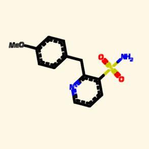 COc1ccc(Cc2ncccc2S(N)(=O)=O)cc1